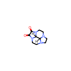 O=C1C(=O)N2CCN3CCN4CCN1[C@H]2[C@H]34